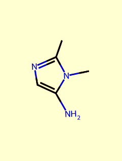 Cc1ncc(N)n1C